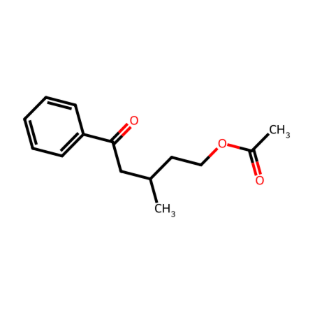 CC(=O)OCCC(C)CC(=O)c1ccccc1